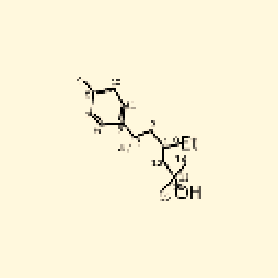 CCC(C[C@H](C)c1ccc(C)cc1)CC(C)(C)O